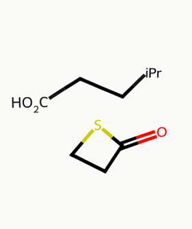 CC(C)CCC(=O)O.O=C1CCS1